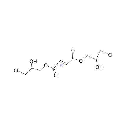 O=C(/C=C/C(=O)OCC(O)CCl)OCC(O)CCl